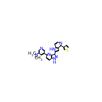 CN(C)c1cncc(-c2ccc3[nH]nc(-c4cc5c(-c6ccsc6)nccc5[nH]4)c3n2)c1